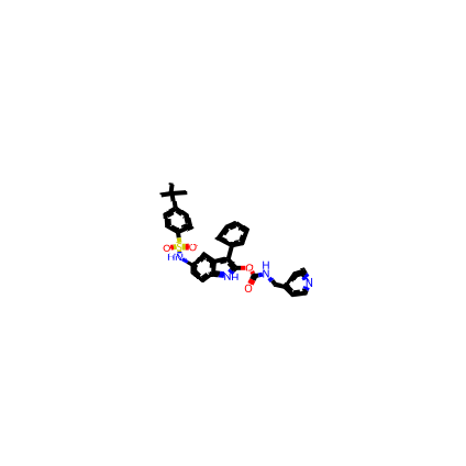 CC(C)(C)c1ccc(S(=O)(=O)Nc2ccc3[nH]c(OC(=O)NCc4ccncc4)c(-c4ccccc4)c3c2)cc1